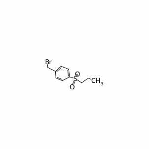 CCCS(=O)(=O)c1ccc(CBr)cc1